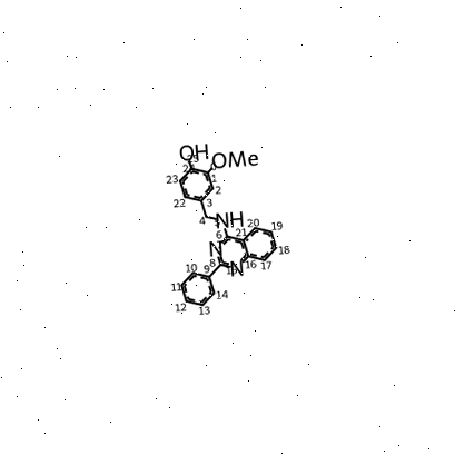 COc1cc(CNc2nc(-c3ccccc3)nc3ccccc23)ccc1O